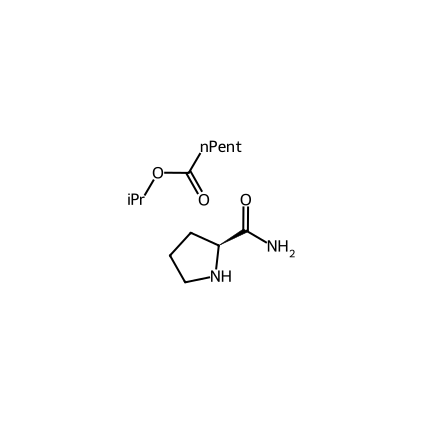 CCCCCC(=O)OC(C)C.NC(=O)[C@@H]1CCCN1